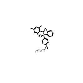 CCCCCOc1ccc(P(=O)(C(=O)c2c(C)cc(C)cc2C)c2ccccc2)cc1